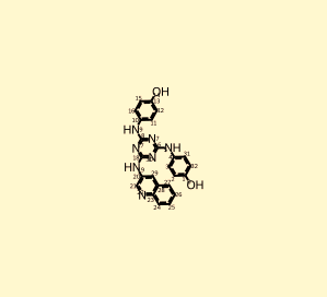 Oc1ccc(Nc2nc(Nc3ccc(O)cc3)nc(Nc3cnc4ccccc4c3)n2)cc1